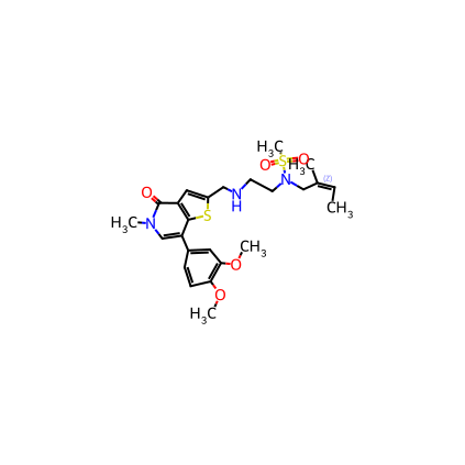 C/C=C(/C)CN(CCNCc1cc2c(=O)n(C)cc(-c3ccc(OC)c(OC)c3)c2s1)S(C)(=O)=O